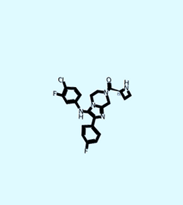 O=C([C@@H]1CCN1)N1CCn2c(nc(-c3ccc(F)cc3)c2Nc2ccc(Cl)c(F)c2)C1